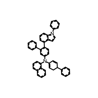 C1=CC(c2ccccc2)CC=C1N(c1ccc(-c2cccc3c2ccn3-c2ccccc2)c(-c2ccccc2)c1)c1cccc2ccccc12